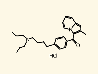 CCCN(CCC)CCCCc1ccc(C(=O)c2c(C)cc3ccccn23)cc1.Cl